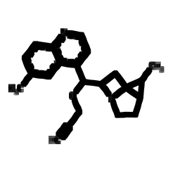 C#CCOC(c1ccnc2ccc(C)cc12)C1CC23C(C)C2CCN13